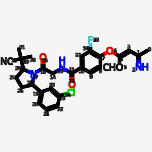 CC(=N)/C=C(\C=O)Oc1ccc(C(=O)NCC(=O)N2C(c3cccc(Cl)c3)CCC2C(C)(C)C#N)cc1F